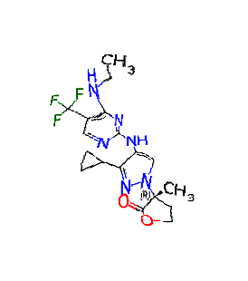 CCNc1nc(Nc2cn([C@]3(C)CCOC3=O)nc2C2CC2)ncc1C(F)(F)F